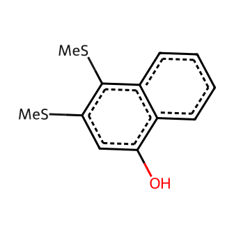 CSc1cc(O)c2ccccc2c1SC